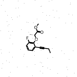 CCC#Cc1cccc(F)c1O[C@H](C)C(=O)OC